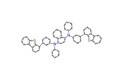 c1ccc(N(c2cccc(-c3cccc4c3sc3ccccc34)c2)c2ccc(N(c3ccccc3)c3cccc(-c4cccc5c4sc4ccccc45)c3)c3ccccc23)cc1